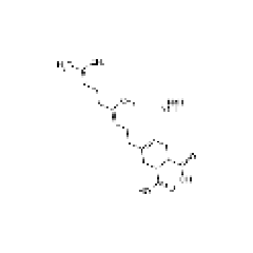 CC(C)=CCC/C(C)=C/CCC1=CCC(C(=O)O)C(C(=O)O)C1.[NaH].[NaH]